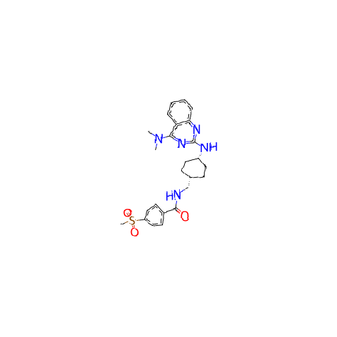 CN(C)c1nc(N[C@H]2CC[C@@H](CNC(=O)c3ccc(S(C)(=O)=O)cc3)CC2)nc2ccccc12